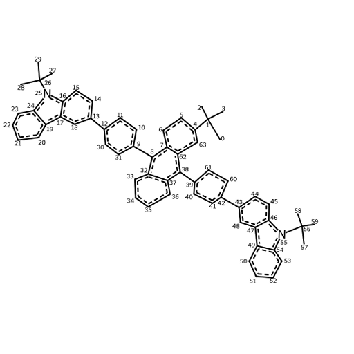 CC(C)(C)c1ccc2c(-c3ccc(-c4ccc5c(c4)c4ccccc4n5C(C)(C)C)cc3)c3ccccc3c(-c3ccc(-c4ccc5c(c4)c4ccccc4n5C(C)(C)C)cc3)c2c1